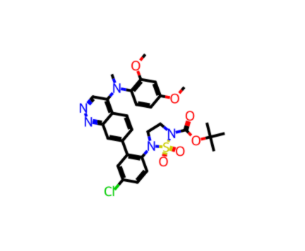 COc1ccc(N(C)c2cnnc3cc(-c4cc(Cl)ccc4N4CCN(C(=O)OC(C)(C)C)S4(=O)=O)ccc23)c(OC)c1